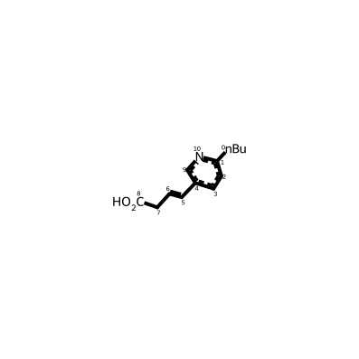 CCCCc1ccc(/C=C/CC(=O)O)cn1